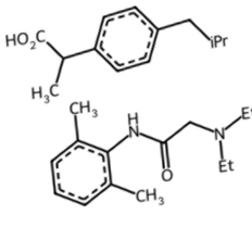 CC(C)Cc1ccc(C(C)C(=O)O)cc1.CCN(CC)CC(=O)Nc1c(C)cccc1C